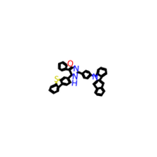 c1ccc2cc3c(cc2c1)c1ccccc1n3-c1ccc(C2=Nc3oc4ccccc4c3C(c3ccc4c(c3)sc3ccccc34)N2)cc1